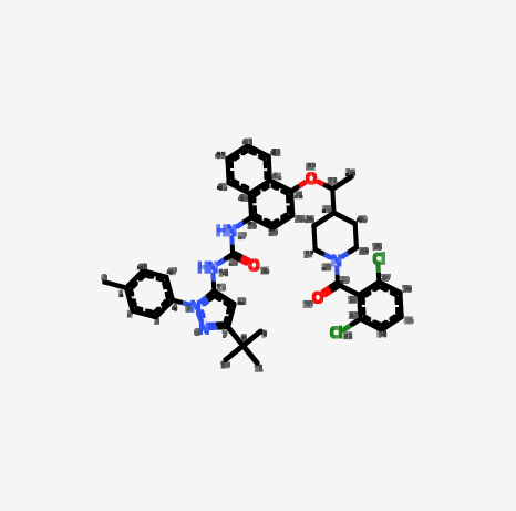 Cc1ccc(-n2nc(C(C)(C)C)cc2NC(=O)Nc2ccc(OC(C)C3CCN(C(=O)c4c(Cl)cccc4Cl)CC3)c3ccccc23)cc1